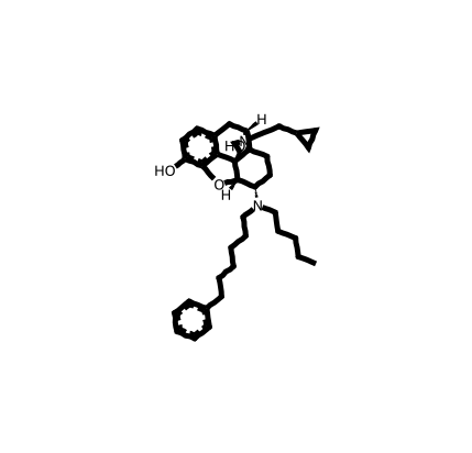 CCCCCN(CCCCCCc1ccccc1)[C@H]1CC[C@@]2(O)[C@H]3Cc4ccc(O)c5c4[C@@]2(CCN3CC2CC2)[C@H]1O5